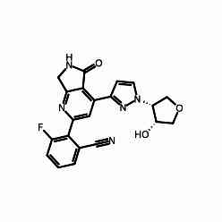 N#Cc1cccc(F)c1-c1cc(-c2ccn([C@@H]3COC[C@@H]3O)n2)c2c(n1)CNC2=O